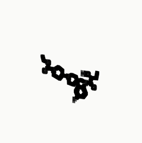 CCOC(=O)N1CCC(N2CCC3(CC2)CN(C(=O)[C@@H](O)CC)c2ccc(F)cc23)CC1